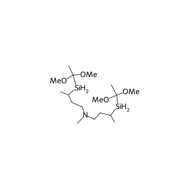 COC(C)(OC)[SiH2]C(C)CCN(C)CCC(C)[SiH2]C(C)(OC)OC